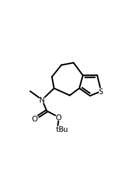 CN(C(=O)OC(C)(C)C)C1CCCc2cscc2C1